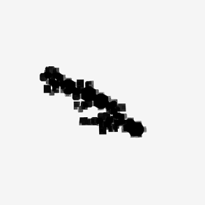 COC(=O)N[C@H](C(=O)N1C[C@H](N2Cc3ccccc3C2)C[C@H]1c1nc(-c2ccc(-c3cc(Cl)c(NC(=O)c4ccc(N5CCN(C(=O)C(C)(C)C)C[C@H]5C)nc4)cc3OC(F)(F)F)cc2)c[nH]1)C(C)C